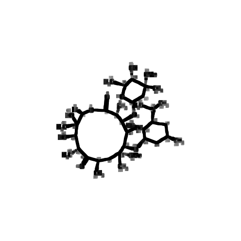 CC[C@H]1OC(=O)[C@H](C)[C@@H](O[C@H]2C[C@@](C)(OC)[C@@H](O)[C@H](C)O2)C(C)[C@@H](O[C@@H]2C[C@H](C)C[C@H](N(C)C)[C@H]2O)[C@](C)(OC)C[C@@H](C)C(=O)[C@H](C)[C@@H](O)[C@]1(C)O